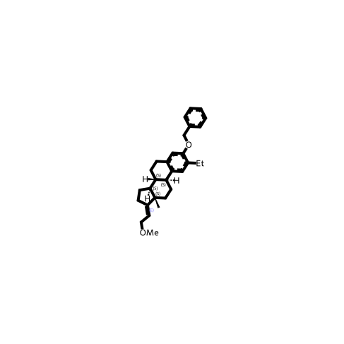 CCc1cc2c(cc1OCc1ccccc1)CC[C@@H]1[C@@H]2CC[C@]2(C)/C(=C/COC)CC[C@@H]12